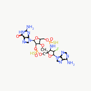 COC1C2COP(=O)(S)NC3C(CO[P@@](=O)(S)OC1C(n1cnc4c(=O)[nH]c(N)nc41)O2)OC(n1cnc2c(N)ncnc21)C3F